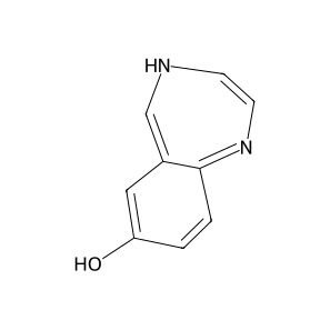 Oc1ccc2c(c1)=CNC=CN=2